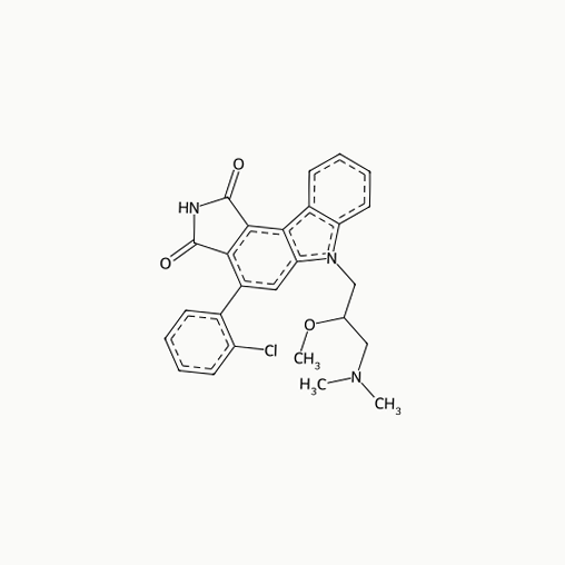 COC(CN(C)C)Cn1c2ccccc2c2c3c(c(-c4ccccc4Cl)cc21)C(=O)NC3=O